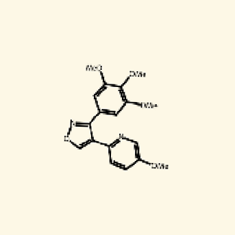 COc1ccc(-c2conc2-c2cc(OC)c(OC)c(OC)c2)nc1